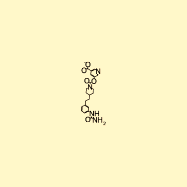 COC(=O)c1cncc(OC(=O)N2CCC(CCc3cccc(NC(N)=O)c3)CC2)c1